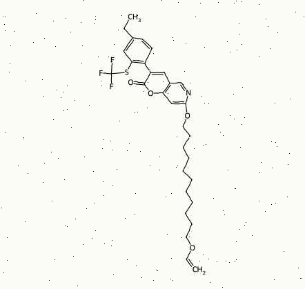 C=COCCCCCCCCCCCOc1cc2oc(=O)c(-c3ccc(CC)cc3SC(F)(F)F)cc2cn1